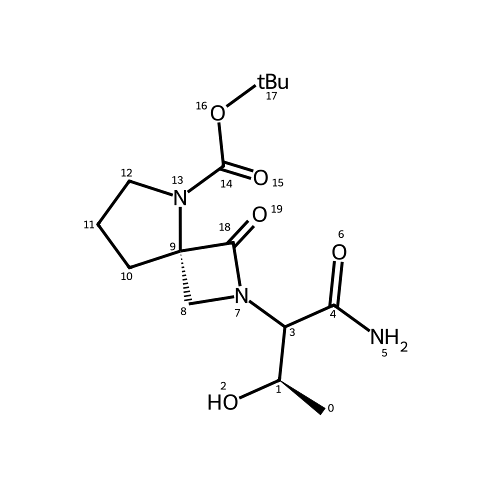 C[C@@H](O)C(C(N)=O)N1C[C@@]2(CCCN2C(=O)OC(C)(C)C)C1=O